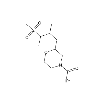 CC(C)C(=O)N1CCOC(CC(C)C(C)S(C)(=O)=O)C1